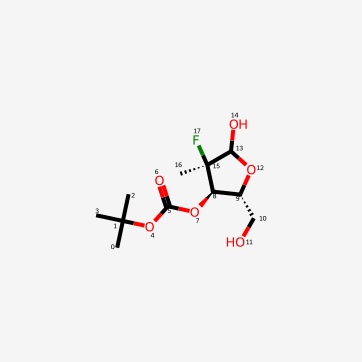 CC(C)(C)OC(=O)O[C@@H]1[C@@H](CO)OC(O)[C@]1(C)F